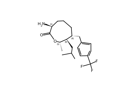 CC(C)C[C@@H]1[C@@H](Cc2ccc(C(F)(F)F)cc2)CCC[C@H](N)C(=O)O[C@H]1C